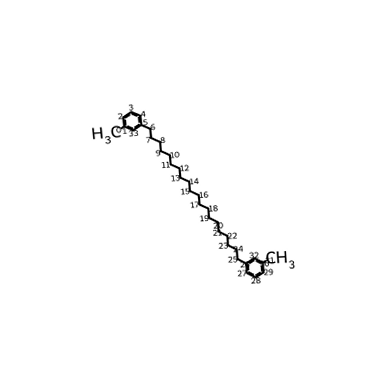 Cc1cccc(CCCCCCCCCCCCCCCCCCCCc2cccc(C)c2)c1